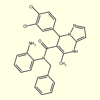 CC1=C(C(=O)N(Cc2ccccc2)c2ccccc2N)C(c2ccc(Cl)c(Cl)c2)n2nccc2N1